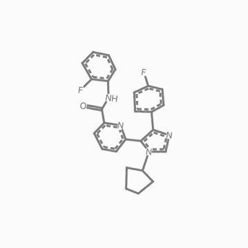 O=C(Nc1ccccc1F)c1cccc(-c2c(-c3ccc(F)cc3)ncn2C2CCCC2)n1